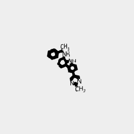 Cc1ncc(-c2ccc3[nH]c4c(c3c2)CCCC4N[C@@H](C)c2ccccc2)cn1